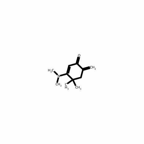 C=C1CC(C)(C)C(N(C)C)=CC1=O